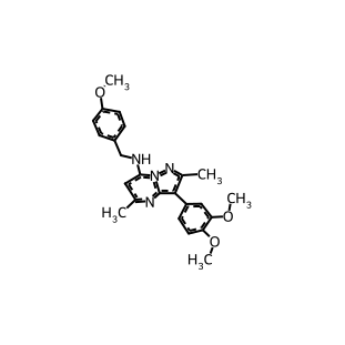 COc1ccc(CNc2cc(C)nc3c(-c4ccc(OC)c(OC)c4)c(C)nn23)cc1